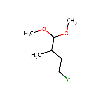 COC(OC)C(C)CCCl